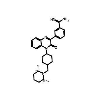 C[C@@H]1CCC[C@H](C)N1CC1CCC(n2c(=O)c(-c3cccc(C(=N)N)c3)nc3ccccc32)CC1